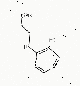 CCCCCCCCNc1ccccc1.Cl